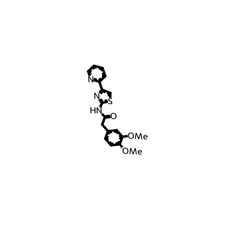 COc1ccc(CC(=O)Nc2nc(-c3ccccn3)cs2)cc1OC